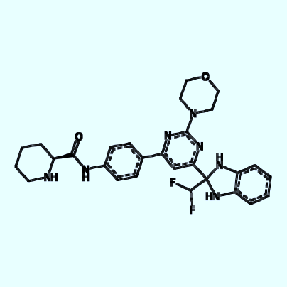 O=C(Nc1ccc(-c2cc(C3(C(F)F)Nc4ccccc4N3)nc(N3CCOCC3)n2)cc1)[C@@H]1CCCCN1